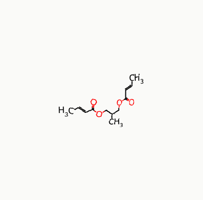 CC=CC(=O)OC[C](C)COC(=O)C=CC